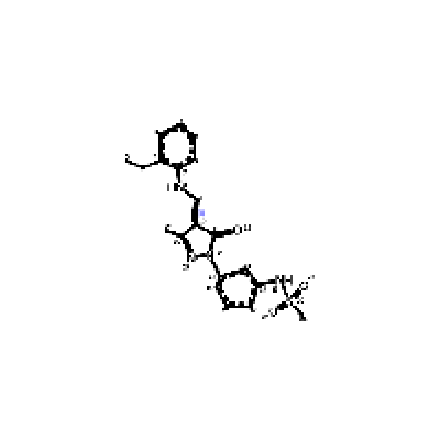 CCc1ccccc1N/C=C1/C(=O)N(c2cccc(NS(C)(=O)=O)c2)N=C1C